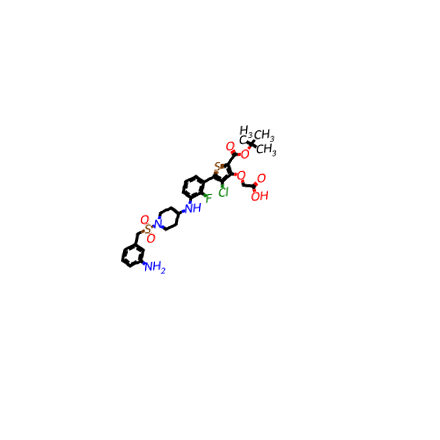 CC(C)(C)OC(=O)c1sc(-c2cccc(NC3CCN(S(=O)(=O)Cc4cccc(N)c4)CC3)c2F)c(Cl)c1OCC(=O)O